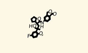 COc1ccc(F)cc1C(C)(C)CC(O)(C(=O)Nc1ccc2c(c1)COC2=O)C1CCCC1